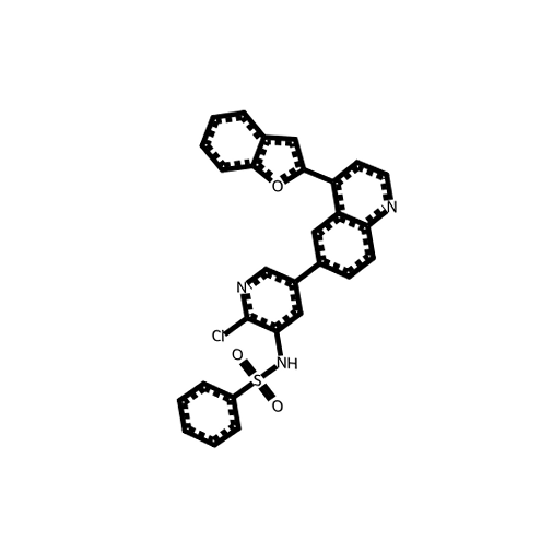 O=S(=O)(Nc1cc(-c2ccc3nccc(-c4cc5ccccc5o4)c3c2)cnc1Cl)c1ccccc1